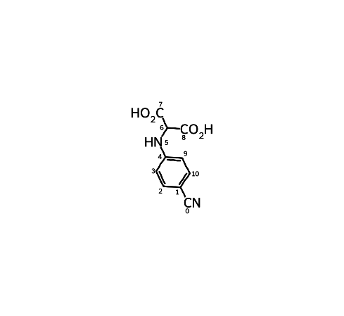 N#Cc1ccc(NC(C(=O)O)C(=O)O)cc1